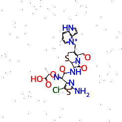 C[C@H](O/N=C(\C(=O)NC1C(=O)N2C(C=O)=C(C[n+]3cccc4[nH]ccc43)CSC12)c1nc(N)sc1Cl)C(=O)O